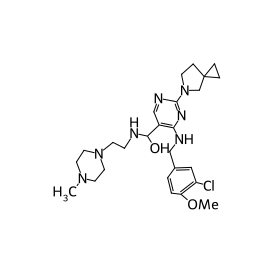 COc1ccc(CNc2nc(N3CCC4(CC4)C3)ncc2C(O)NCCN2CCN(C)CC2)cc1Cl